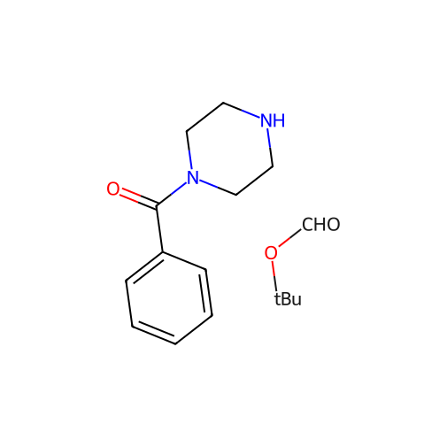 CC(C)(C)OC=O.O=C(c1ccccc1)N1CCNCC1